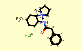 C[N+]1([C@]2([N+](=O)[O-])C[C@@H](C(F)(F)F)CCC2NC(=O)Cc2ccccc2)CCCC1.Cl